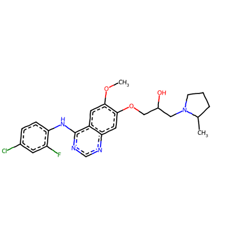 COc1cc2c(Nc3ccc(Cl)cc3F)ncnc2cc1OCC(O)CN1CCCC1C